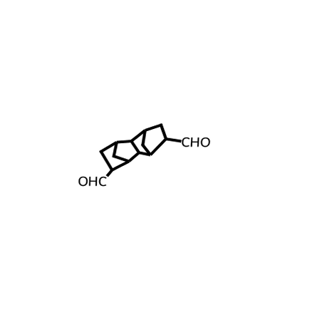 O=CC1CC2CC1C1C3CC(CC3C=O)C21